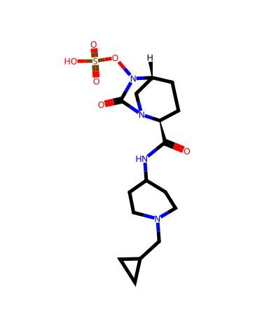 O=C(NC1CCN(CC2CC2)CC1)[C@@H]1CC[C@@H]2CN1C(=O)N2OS(=O)(=O)O